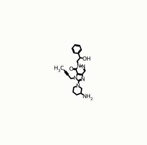 CC#CCn1c(N2CCCC(N)C2)nc2cnn(CC(O)c3ccccc3)c(=O)c21